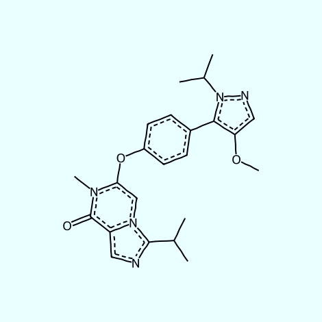 COc1cnn(C(C)C)c1-c1ccc(Oc2cn3c(C(C)C)ncc3c(=O)n2C)cc1